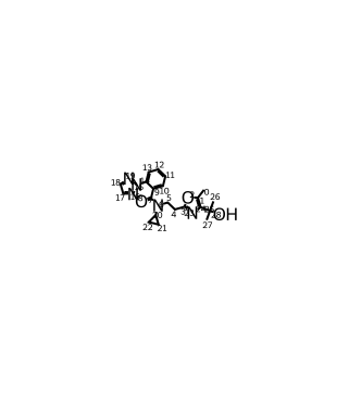 Cc1oc(CCN(C(=O)c2ccccc2-n2nccn2)C2CC2)nc1C(C)(C)O